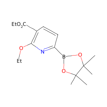 CCOC(=O)c1ccc(B2OC(C)(C)C(C)(C)O2)nc1OCC